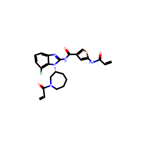 C=CC(=O)Nc1cc(C(=O)Nc2nc3cccc(Cl)c3n2[C@@H]2CCCCN(C(=O)C=C)C2)cs1